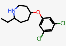 CCC1CCC(Oc2cc(Cl)cc(Cl)c2)CCN1